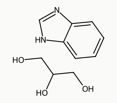 OCC(O)CO.c1ccc2[nH]cnc2c1